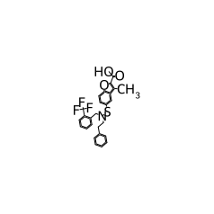 Cc1c(C(=O)O)oc2ccc(SN(CCc3ccccc3)Cc3ccccc3C(F)(F)F)cc12